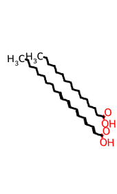 CCCCCCCCCC=CC=CC=CC=CC=CC(=O)O.CCCCCCCCCCCCCCCC(=O)O